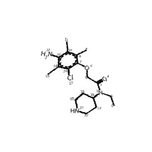 CCN(C(=O)COc1c(C)c(C)c(N)c(C)c1Cl)C1CCNCC1